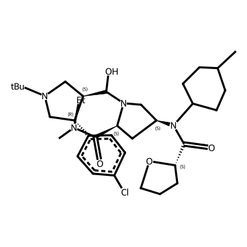 CCN(C)C(=O)[C@@H]1C[C@H](N(C(=O)[C@@H]2CCCO2)C2CCC(C)CC2)CN1C(O)[C@@H]1CN(C(C)(C)C)C[C@H]1c1ccc(Cl)cc1